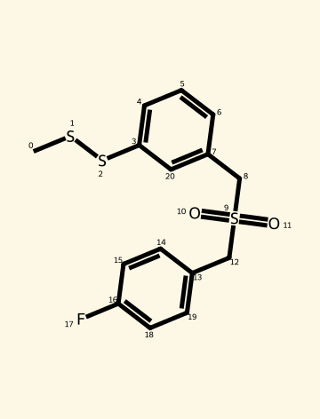 CSSc1cccc(CS(=O)(=O)Cc2ccc(F)cc2)c1